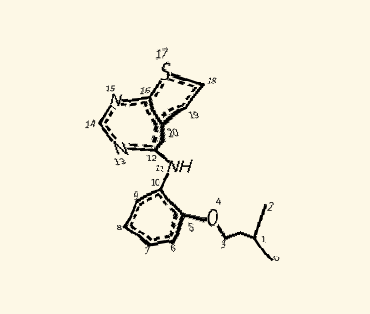 CC(C)COc1ccccc1Nc1ncnc2sccc12